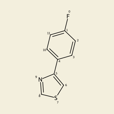 Fc1ccc(-c2cs[c]n2)cc1